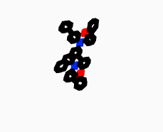 c1ccc(-c2ccc(N(c3cccc(-c4ccccc4N(c4cccc5ccccc45)c4cccc5c4oc4ccccc45)c3)c3cccc4c3oc3ccccc34)cc2)cc1